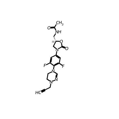 C#CCN1CCN(c2c(F)cc(N3C[C@H](CNC(C)=O)OC3=O)cc2F)C=N1